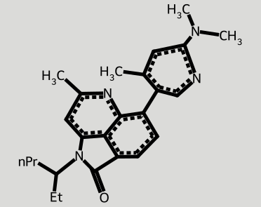 CCCC(CC)N1C(=O)c2ccc(-c3cnc(N(C)C)cc3C)c3nc(C)cc1c23